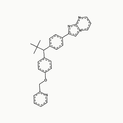 CC(C)(C)C(c1ccc(OCc2ccccn2)cc1)c1ccc(-c2cn3cccnc3n2)cc1